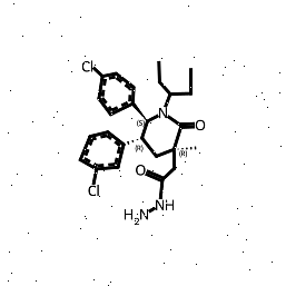 CCC(CC)N1C(=O)[C@@](C)(CC(=O)NN)C[C@H](c2cccc(Cl)c2)[C@H]1c1ccc(Cl)cc1